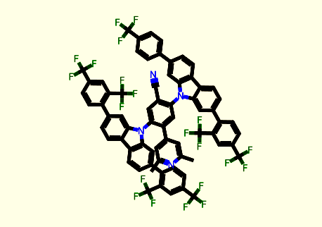 Cc1cc(-c2cc(-n3c4cc(-c5ccc(C(F)(F)F)cc5)ccc4c4ccc(-c5ccc(C(F)(F)F)cc5C(F)(F)F)cc43)c(C#N)cc2-n2c3cc(-c4ccc(C(F)(F)F)cc4C(F)(F)F)ccc3c3ccc(-c4ccc(C(F)(F)F)cc4C(F)(F)F)cc32)cc(C)n1